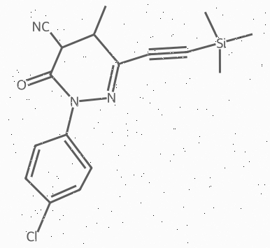 CC1C(C#C[Si](C)(C)C)=NN(c2ccc(Cl)cc2)C(=O)C1C#N